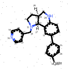 COc1ccc(-c2ccc3c(c2)[C@@H]2[C@@H](CCN2Cc2ccncc2)CN3)cc1